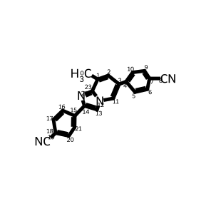 Cc1cc(-c2ccc(C#N)cc2)cn2cc(-c3ccc(C#N)cc3)nc12